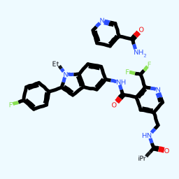 CCn1c(-c2ccc(F)cc2)cc2cc(NC(=O)c3cc(CNC(=O)C(C)C)cnc3C(F)F)ccc21.NC(=O)c1cccnc1